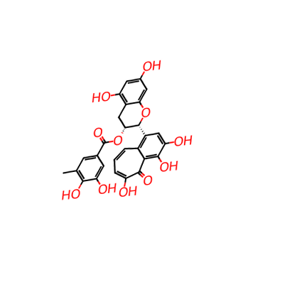 Cc1cc(C(=O)O[C@@H]2Cc3c(O)cc(O)cc3O[C@@H]2c2cc(O)c(O)c3c(=O)c(O)cccc23)cc(O)c1O